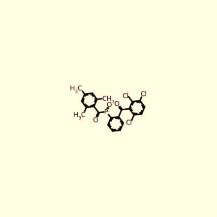 Cc1cc(C)c(C(=O)[P](=O)c2ccccc2C(=O)c2c(Cl)ccc(Cl)c2Cl)c(C)c1